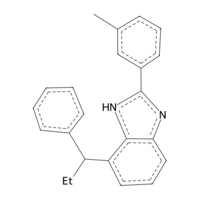 CCC(c1ccccc1)c1cccc2nc(-c3cccc(C)c3)[nH]c12